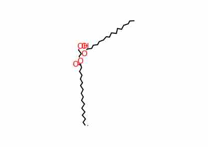 [CH2]CCCCCCCCCCCCCCCCC(=O)OCC(CO)OC(=O)CCCCCCCCCCCCCCC